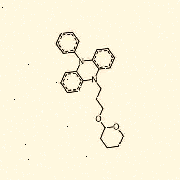 c1ccc(N2c3ccccc3N(CCCOC3CCCCO3)c3ccccc32)cc1